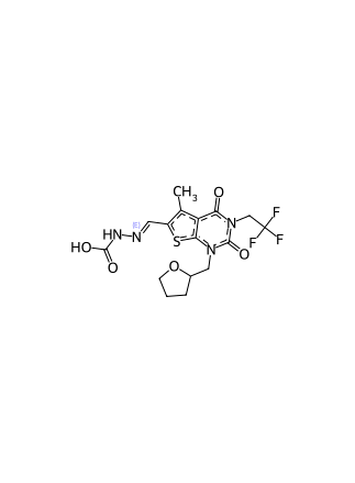 Cc1c(/C=N/NC(=O)O)sc2c1c(=O)n(CC(F)(F)F)c(=O)n2CC1CCCO1